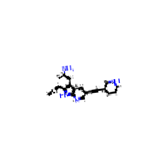 C=C=Cc1[nH]c2ncc(C#CC3CCCNC3)cc2c1/C=C(\C)N